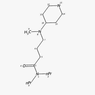 CCCN(CCC)C(=O)CCCN(C)C1CC[N]CC1